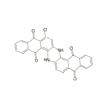 O=c1c2ccccc2c(=O)c2c1ccc1[nH]c3c(cc(Cl)c4c(=O)c5ccccc5c(=O)c43)[nH]c12